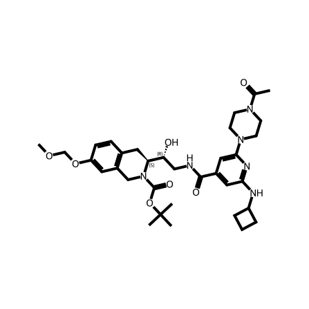 COCOc1ccc2c(c1)CN(C(=O)OC(C)(C)C)[C@H]([C@H](O)CNC(=O)c1cc(NC3CCC3)nc(N3CCN(C(C)=O)CC3)c1)C2